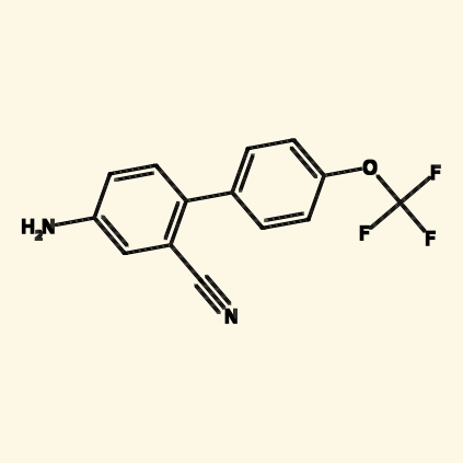 N#Cc1cc(N)ccc1-c1ccc(OC(F)(F)F)cc1